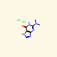 CN(C)c1nc2nc[nH]c2c(=O)[nH]1.Cl.Cl